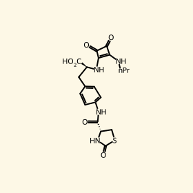 CCCNc1c(N[C@@H](Cc2ccc(NC(=O)[C@@H]3CSC(=O)N3)cc2)C(=O)O)c(=O)c1=O